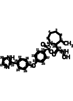 CC1CCCCN(S(=O)(=O)c2ccc(Oc3ccc(-c4ncc[nH]4)cc3)cc2)C1C(=O)NO